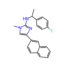 CC(Nc1nc(-c2ccc3ccccc3c2)cn1C)c1ccc(F)cc1